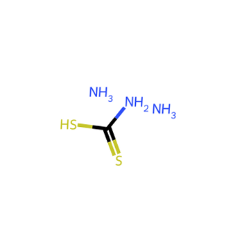 N.N.NC(=S)S